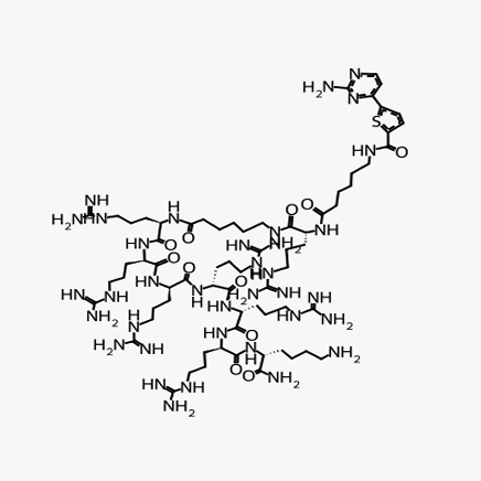 N=C(N)NCCC[C@@H](NC(=O)CCCCCNC(=O)c1ccc(-c2ccnc(N)n2)s1)C(=O)NCCCCCC(=O)N[C@H](CCCNC(=N)N)C(=O)N[C@H](CCCNC(=N)N)C(=O)N[C@H](CCCNC(=N)N)C(=O)N[C@H](CCCNC(=N)N)C(=O)N[C@H](CCCNC(=N)N)C(=O)N[C@H](CCCNC(=N)N)C(=O)N[C@H](CCCCN)C(N)=O